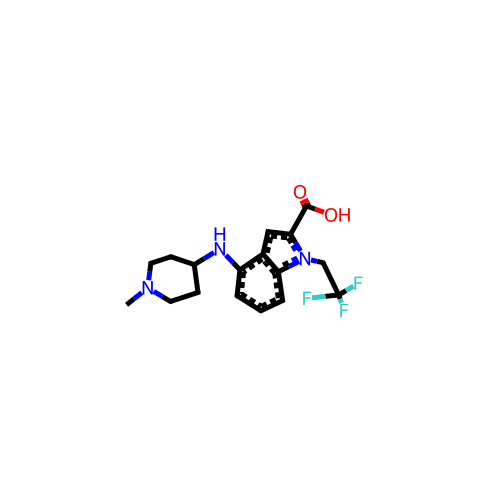 CN1CCC(Nc2cccc3c2cc(C(=O)O)n3CC(F)(F)F)CC1